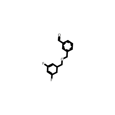 O=Cc1cccc(COCC2C=C(F)C=C(F)C2)c1